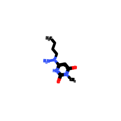 CCCCN(N)c1cc(=O)n(C)c(=O)[nH]1